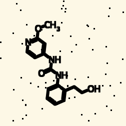 COc1cc(NC(=O)Nc2ccccc2CCO)ccn1